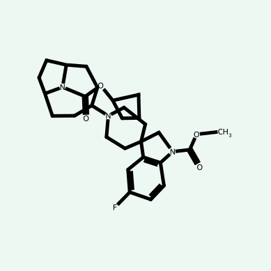 COC(=O)N1CC2(CCN(C3CCC4CCC(CC3)N4C(=O)OC3CCC3)CC2)c2cc(F)ccc21